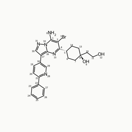 Nc1c(Br)c([C@H]2CC[C@@](O)(CCO)CC2)nc2c(-c3ccc(-c4ccccc4)nc3)cnn12